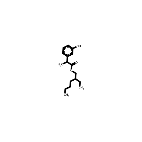 CCCCC(CC)COC(=O)C(C)c1cccc(O)c1